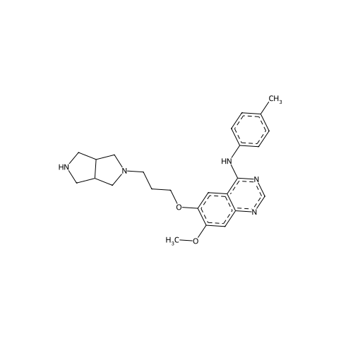 COc1cc2ncnc(Nc3ccc(C)cc3)c2cc1OCCCN1CC2CNCC2C1